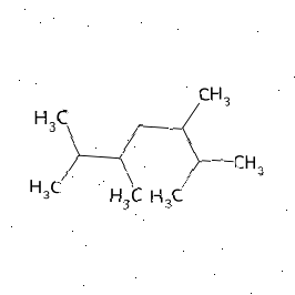 CC(C)C(C)CC(C)C(C)C